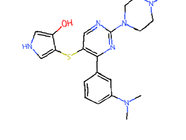 CN1CCN(c2ncc(Sc3c[nH]cc3O)c(-c3cccc(N(C)C)c3)n2)CC1